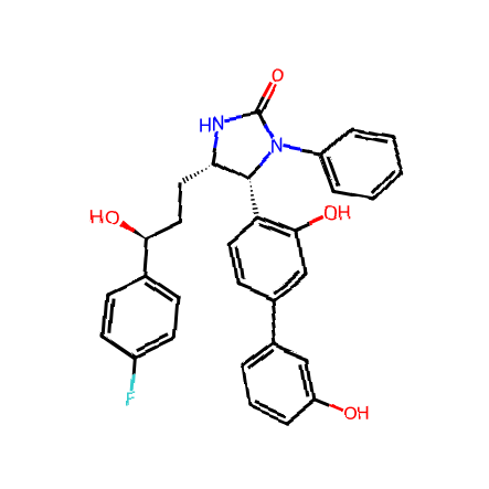 O=C1N[C@@H](CC[C@H](O)c2ccc(F)cc2)[C@@H](c2ccc(-c3cccc(O)c3)cc2O)N1c1ccccc1